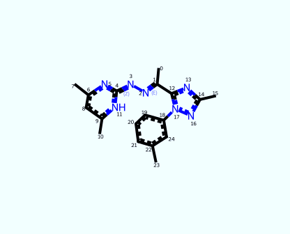 C/C(=N\N=c1\nc(C)cc(C)[nH]1)c1nc(C)nn1-c1cccc(C)c1